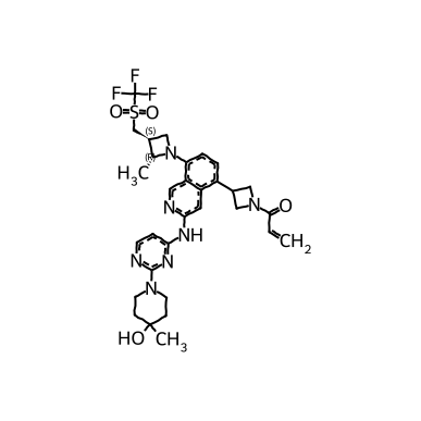 C=CC(=O)N1CC(c2ccc(N3C[C@H](CS(=O)(=O)C(F)(F)F)[C@H]3C)c3cnc(Nc4ccnc(N5CCC(C)(O)CC5)n4)cc23)C1